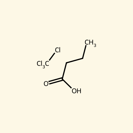 CCCC(=O)O.ClC(Cl)(Cl)Cl